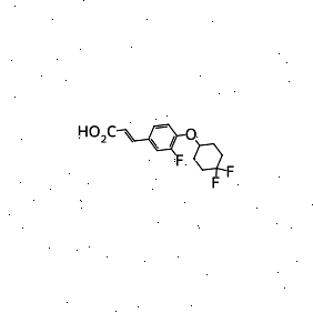 O=C(O)/C=C/c1ccc(OC2CCC(F)(F)CC2)c(F)c1